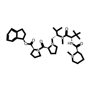 CC(C)[C@@H](CN1CCC[C@H]1C(=O)N1CCC[C@H]1C(=O)O[C@@H]1CCc2ccccc21)N(C)C(=O)[C@@H](NC(=O)[C@H]1CCCCN1C)C(C)(C)C